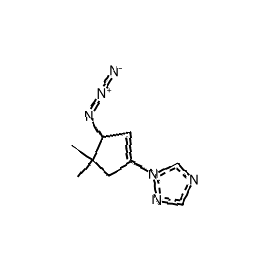 CC1(C)CC(n2cncn2)=CC1N=[N+]=[N-]